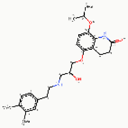 COc1ccc(CCNCC(O)COc2ccc(OC(C)OC)c3c2CCC(=O)N3)cc1OC